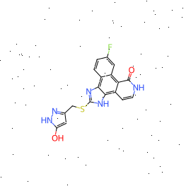 O=c1[nH]ccc2c3[nH]c(SCc4cc(O)[nH]n4)nc3c3ccc(F)cc3c12